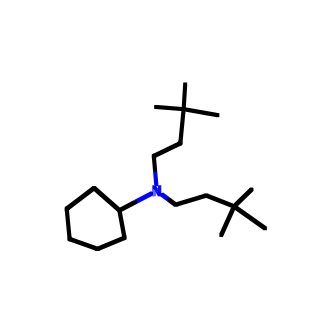 CC(C)(C)CCN(CCC(C)(C)C)C1CCCCC1